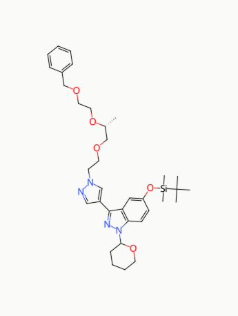 C[C@H](COCCn1cc(-c2nn(C3CCCCO3)c3ccc(O[Si](C)(C)C(C)(C)C)cc23)cn1)OCCOCc1ccccc1